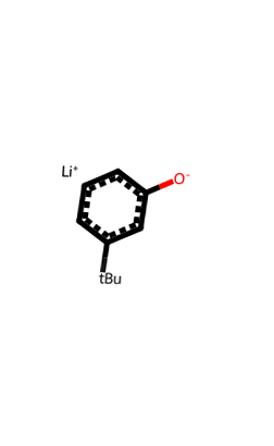 CC(C)(C)c1cccc([O-])c1.[Li+]